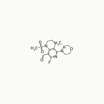 C[C@@H]1COCCN1c1nc(F)c(C=O)c2c1CCCN2S(C)(=O)=O